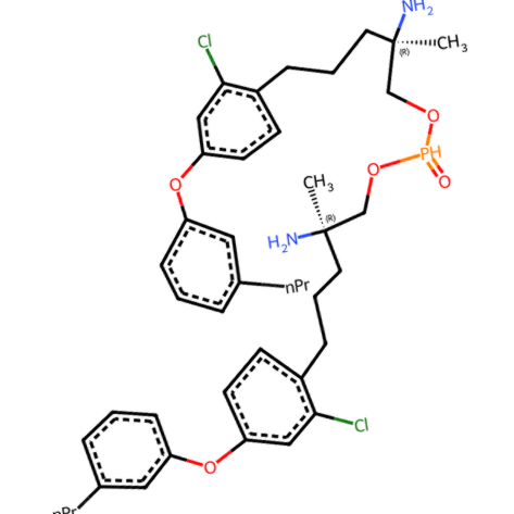 CCCc1cccc(Oc2ccc(CCC[C@@](C)(N)CO[PH](=O)OC[C@](C)(N)CCCc3ccc(Oc4cccc(CCC)c4)cc3Cl)c(Cl)c2)c1